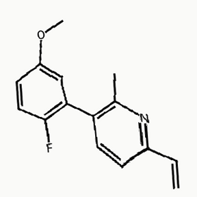 C=Cc1ccc(-c2cc(OC)ccc2F)c(C)n1